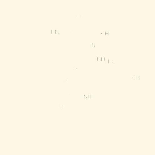 CC(C)C[C@H](NC(=O)OCc1ccccc1)C(=O)NN(C)C1CCNC1=O